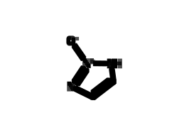 [O-][n+]1ncc[nH]1